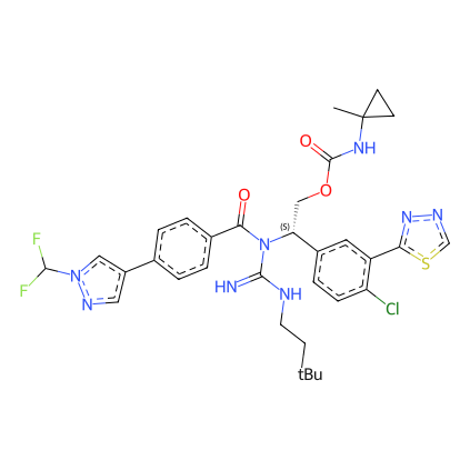 CC(C)(C)CCNC(=N)N(C(=O)c1ccc(-c2cnn(C(F)F)c2)cc1)[C@H](COC(=O)NC1(C)CC1)c1ccc(Cl)c(-c2nncs2)c1